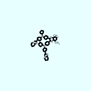 Cc1ccc(C)c2nc(-c3ccc(N(c4ccccc4)c4ccc(-c5cn6ccccc6n5)cc4)cc3)c(-c3ccc(N(c4ccccc4)c4ccc(-c5cn6ccccc6n5)cc4)cc3)nc12